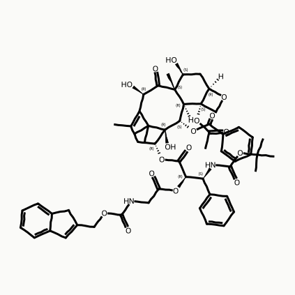 CC(=O)O[C@@]12CO[C@@H]1C[C@H](O)[C@@]1(C)C(=O)[C@H](O)C3=C(C)C[C@@H](OC(=O)[C@H](OC(=O)CNC(=O)OCC4=Cc5ccccc5C4)[C@@H](NC(=O)OC(C)(C)C)c4ccccc4)[C@@](O)([C@@H](OC(=O)c4ccccc4)[C@H]21)C3(C)C